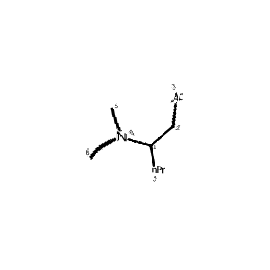 CCCC(CC(C)=O)N(C)C